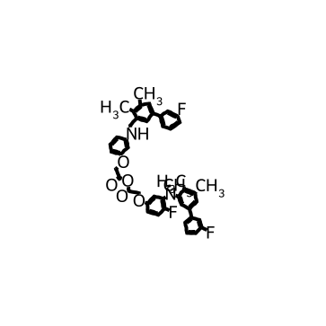 Cc1cc(-c2cccc(F)c2)cc(CNc2cccc(OCC(=O)OC(=O)COc3ccc(F)c(N(C)c4cc(-c5cccc(F)c5)cc(C)c4C)c3)c2)c1C